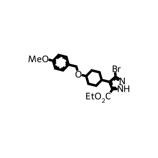 CCOC(=O)c1[nH]nc(Br)c1C1CCC(OCc2ccc(OC)cc2)CC1